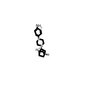 Nc1ccc(N2CCN([C@H]3C[C@@H]4CC[C@H]3C4)CC2)cc1